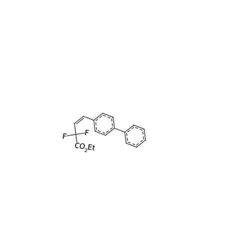 CCOC(=O)C(F)(F)/C=C\c1ccc(-c2ccccc2)cc1